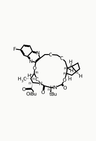 CC(C)COC(=O)[C@@H]1[C@H](C)[C@@H]2CN1C(=O)[C@H](C(C)(C)C)NC(=O)O[C@@H]1C[C@@H]3CC[C@@H]3[C@H]1CCCCCc1nc3ccc(F)cc3nc1O2